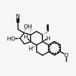 C=C[C@H]1C[C@@]2(C)[C@@H](C[C@@H](O)[C@@]2(O)CC#N)[C@@H]2CCc3cc(OC)ccc3[C@H]21